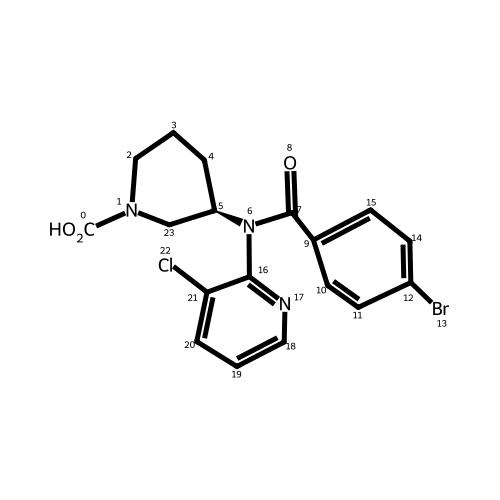 O=C(O)N1CCC[C@@H](N(C(=O)c2ccc(Br)cc2)c2ncccc2Cl)C1